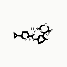 C[C@]1(c2cc(NC(=O)c3ccc(C4CC4)cn3)ccc2F)N=C(N)COCC1(F)F